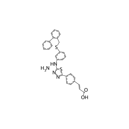 N.O=C(O)C=Cc1ccc(-c2nnc(Nc3cccc(SCc4ccccc4-c4ccccc4)c3)s2)cc1